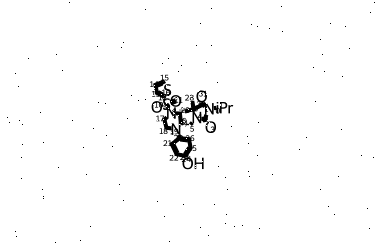 CC(C)N1C(=O)N(C[C@H]2CN(S(=O)(=O)c3cccs3)CCN2c2ccc(O)cc2)C(C)(C)C1=O